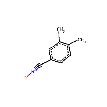 Cc1ccc(C#[N+][O-])cc1C